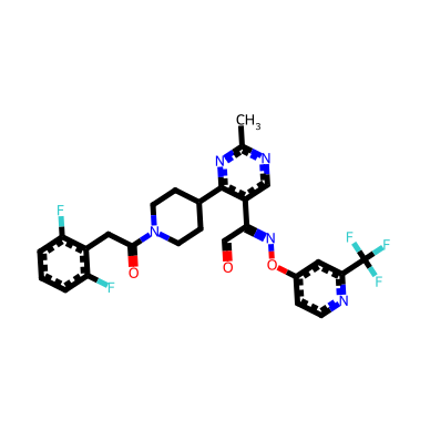 Cc1ncc(/C(C=O)=N/Oc2ccnc(C(F)(F)F)c2)c(C2CCN(C(=O)Cc3c(F)cccc3F)CC2)n1